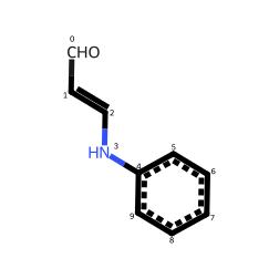 O=CC=CNc1ccccc1